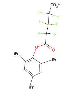 CC(C)c1cc(C(C)C)c(OC(=O)C(F)(F)C(F)(F)C(F)(F)C(=O)O)c(C(C)C)c1